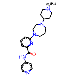 CC[C@@H](C)N1CCC(N2CCCN(c3cccc(C(=O)Nc4ccncc4)n3)CC2)CC1